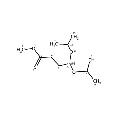 COC(=S)CC[SiH](OC(C)C)OC(C)C